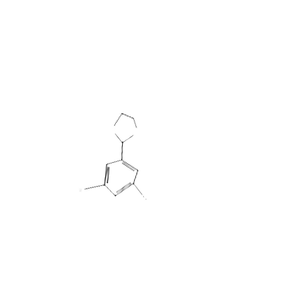 [C-]#[N+]c1cc(Br)cc(C2OCCO2)c1